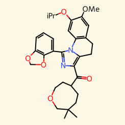 COc1cc2c(cc1OC(C)C)-n1c(-c3cccc4c3OCO4)nc(C(=O)C3CCOCC(C)(C)CC3)c1CC2